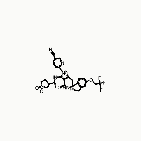 N#Cc1ccc(-n2nc3c(c2NC(=O)C2CCS(=O)(=O)C2)C(=O)N[C@@]2(CCc4cc(OCC(F)(F)F)ccc42)C3)nc1